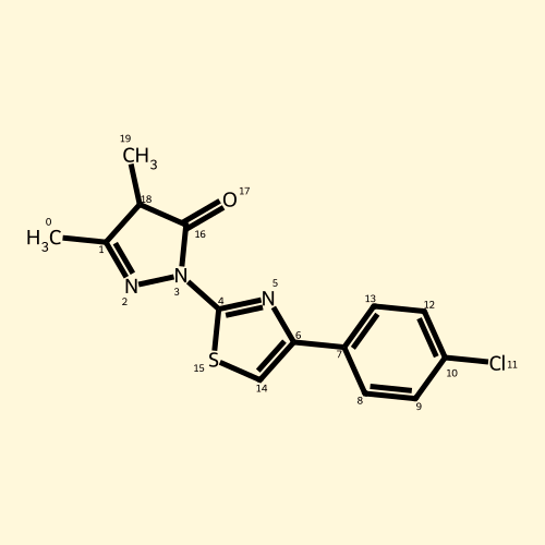 CC1=NN(c2nc(-c3ccc(Cl)cc3)cs2)C(=O)C1C